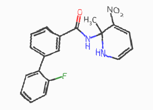 CC1(NC(=O)c2cccc(-c3ccccc3F)c2)NC=CC=C1[N+](=O)[O-]